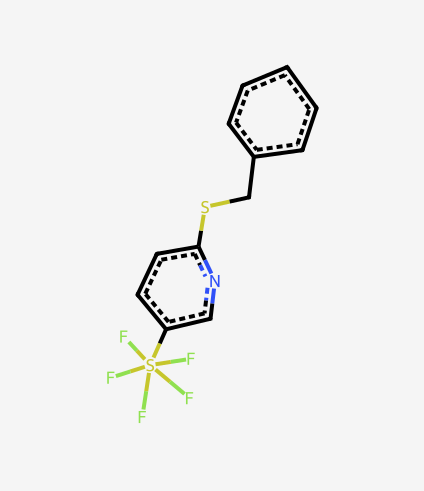 FS(F)(F)(F)(F)c1ccc(SCc2ccccc2)nc1